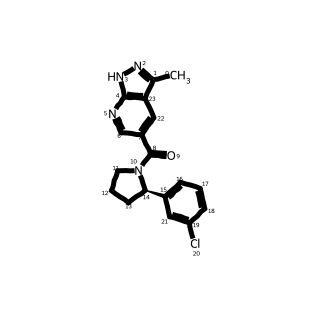 Cc1n[nH]c2ncc(C(=O)N3CCC[C@@H]3c3cccc(Cl)c3)cc12